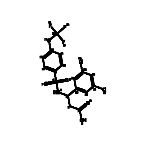 O=C(O)CC(NS(=O)(=O)c1ccc(OC(F)(F)F)cc1)c1cc(Cl)cc(Cl)c1